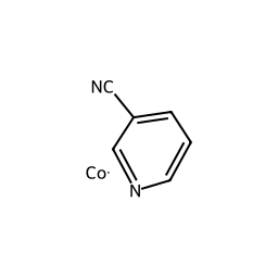 N#Cc1cccnc1.[Co]